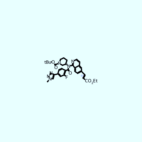 CCOC(=O)/C=C/c1ccc2c(N(C(=O)c3ccc(-c4cn(C)nn4)cc3F)[C@@H]3CCCN(C(=O)OC(C)(C)C)C3)nccc2c1